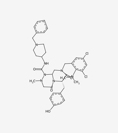 CN(C)c1c(Cl)cc(Cl)cc1CN1CC2N(C(=O)CN(C)N2C(=O)NC2CCN(Cc3ccccc3)CC2)[C@@H](Cc2ccc(O)cc2)C1=O